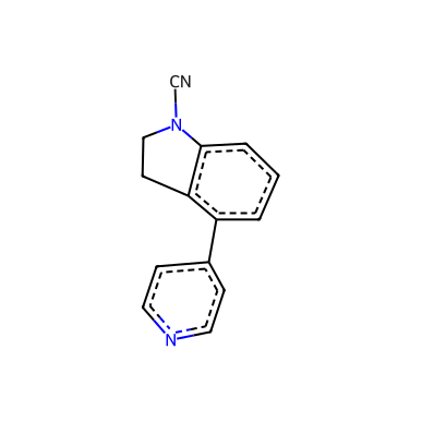 N#CN1CCc2c(-c3ccncc3)cccc21